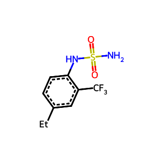 CCc1ccc(NS(N)(=O)=O)c(C(F)(F)F)c1